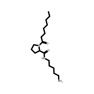 CCCCCCCC(=O)N1CCCC1C(=O)NCCCCCN